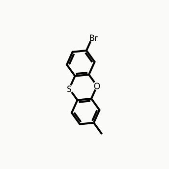 Cc1ccc2c(c1)Oc1cc(Br)ccc1S2